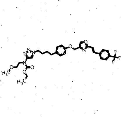 CCOC(=O)N(CCOC)c1cn(CCCCc2ccc(OCc3coc(C=Cc4ccc(C(F)(F)F)cc4)n3)cc2)nn1